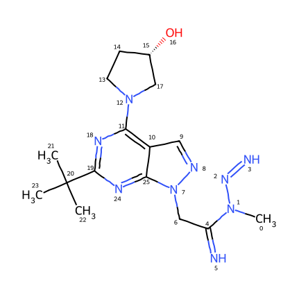 CN(N=N)C(=N)Cn1ncc2c(N3CC[C@H](O)C3)nc(C(C)(C)C)nc21